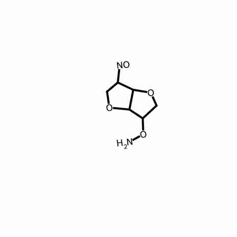 NOC1COC2C(N=O)COC12